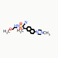 COCCCNS(=O)(=O)/C(C#N)=C(\C)c1ccc2cc(N3CCN(C)CC3)ccc2c1